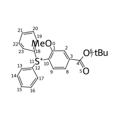 COc1cc(C(=O)OC(C)(C)C)ccc1[S+](c1ccccc1)c1ccccc1